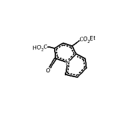 CCOC(=O)c1cc(C(=O)O)c(=O)n2ccccc12